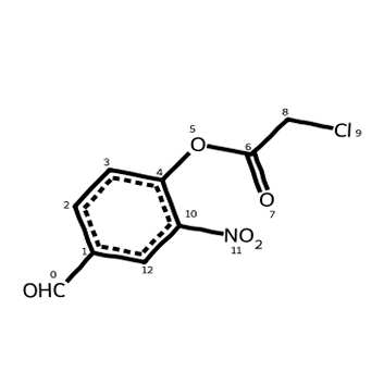 O=Cc1ccc(OC(=O)CCl)c([N+](=O)[O-])c1